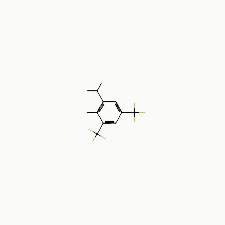 Cc1c(C(C)C)cc(C(F)(F)F)cc1C(F)(F)F